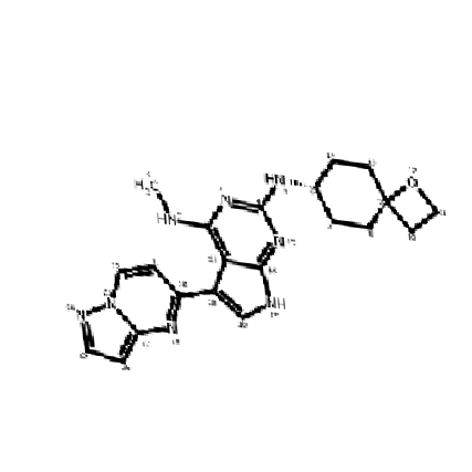 CNc1nc(N[C@H]2CC[C@@]3(CCO3)CC2)nc2[nH]cc(-c3ccn4nccc4n3)c12